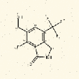 O=C1NCc2c(C(F)(F)F)cc(CO)c(F)c21